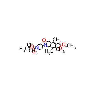 CCOC(=O)Cc1c(C)c(C)c2c(c1C)CC(=O)N(C1CCN(C(=O)OC(C)(C)C)CC1)C2